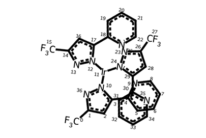 FC(F)(F)c1cc(-c2ccccn2)[n]([Ir]([n]2nc(C(F)(F)F)cc2-c2ccccn2)[n]2nc(C(F)(F)F)cc2-c2ccccn2)n1